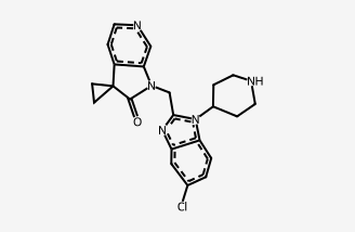 O=C1N(Cc2nc3cc(Cl)ccc3n2C2CCNCC2)c2cnccc2C12CC2